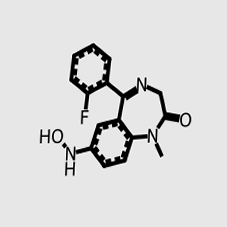 CN1C(=O)CN=C(c2ccccc2F)c2cc(NO)ccc21